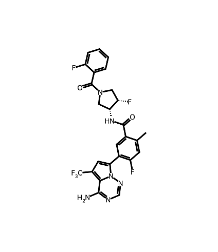 Cc1cc(F)c(-c2cc(C(F)(F)F)c3c(N)ncnn23)cc1C(=O)N[C@@H]1CN(C(=O)c2ccccc2F)C[C@@H]1F